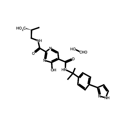 C[C@H](CNC(=O)c1ncc(C(=O)NC(C)(C)c2ccc(-c3cc[nH]n3)cc2)c(O)n1)C(=O)O.O=CO